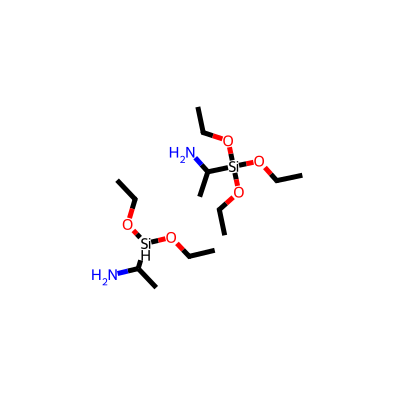 CCO[SiH](OCC)C(C)N.CCO[Si](OCC)(OCC)C(C)N